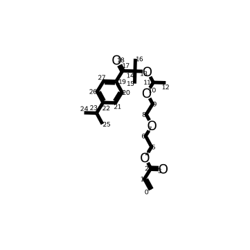 C=CC(=O)OCCOCCOC(C)OC(C)(C)C(=O)c1ccc(C(C)C)cc1